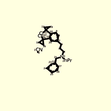 CC#N.CCCN(CCCc1ccc(C2(Cl)CC2)c(C2(Cl)CC2)c1)Cc1ccccc1